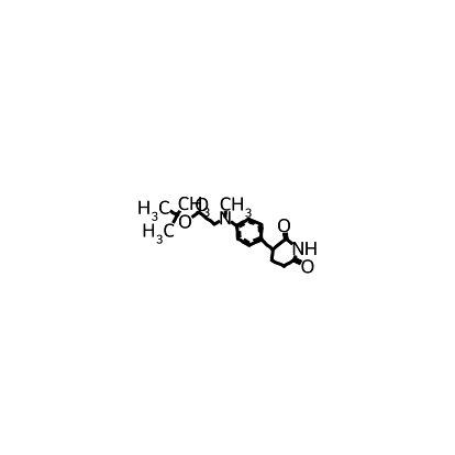 CN(CC(=O)OC(C)(C)C)c1ccc(C2CCC(=O)NC2=O)cc1